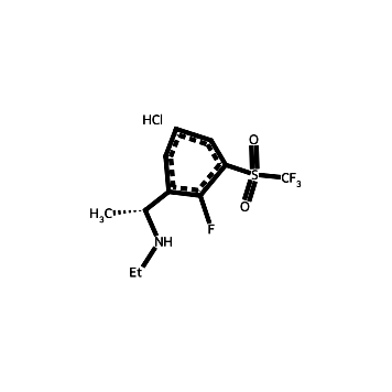 CCN[C@H](C)c1cccc(S(=O)(=O)C(F)(F)F)c1F.Cl